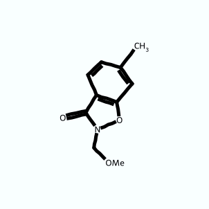 COCn1oc2cc(C)ccc2c1=O